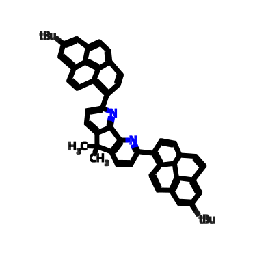 CC(C)(C)c1cc2c3c(c1)C=CC1C=CC(c4ccc5c(n4)-c4nc(-c6ccc7ccc8cc(C(C)(C)C)cc9ccc6c7c89)ccc4C5(C)C)=C(C=C2)C31